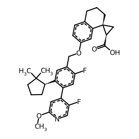 COc1cc(-c2cc(F)c(COc3ccc4c(c3)[C@]3(CCC4)C[C@H]3C(=O)O)cc2[C@H]2CCCC2(C)C)c(F)cn1